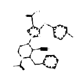 N#CC1C(Cc2ccccc2)N(C(=O)O)CCC1n1cc(C(N)=O)c(Nc2ccc(F)cc2)n1